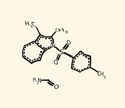 Cc1ccc(S(=O)(=O)n2c(C)c(C)c3ccccc32)cc1.NC=O